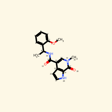 COc1ccccc1C(C)NC(=O)c1cn(C)c(=O)c2[nH]ccc12